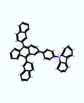 c1ccc2cc(-c3c4ccccc4c(-c4ccc5ccccc5c4)c4cc(-c5ccc(-n6c7ccccc7c7ccccc76)cc5)ccc34)ccc2c1